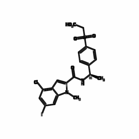 C[C@@H](NC(=O)c1cc2c(Cl)cc(I)cc2n1C)c1ccc(S(=O)(=O)CC(=O)O)cc1